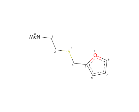 CNCCSCc1ccco1